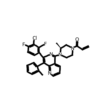 C=CC(=O)N1CCN(c2nc(-c3ccc(F)c(Cl)c3F)c(-c3ccccc3C)c3ncccc23)[C@@H](C)C1